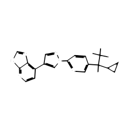 OC(c1ccc(-n2cc(-c3ccnc4[nH]cnc34)cn2)nc1)(C1CC1)C(F)(F)F